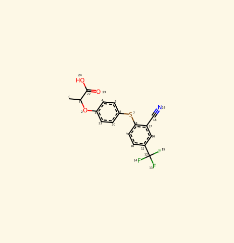 CC(Oc1ccc(Sc2ccc(C(F)(F)F)cc2C#N)cc1)C(=O)O